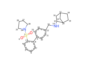 O=S(=O)(c1ccccc1-c1ccc(CNC2CC3CCC2C3)cc1)N1CCCC1